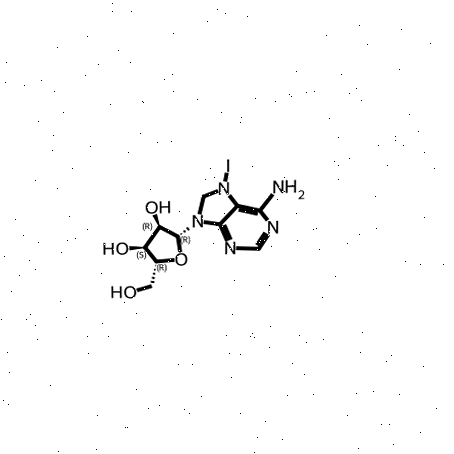 Nc1ncnc2c1N(I)CN2[C@@H]1O[C@H](CO)[C@@H](O)[C@H]1O